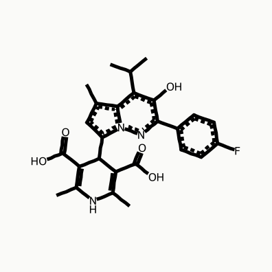 CC1=C(C(=O)O)C(c2cc(C)c3c(C(C)C)c(O)c(-c4ccc(F)cc4)nn23)C(C(=O)O)=C(C)N1